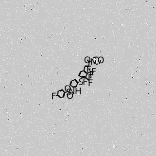 O=C(C=Cc1ccc(Sc2cccc(NS(=O)(=O)c3ccc(F)cc3)c2)c(C(F)(F)F)c1C(F)(F)F)N1CCOCC1